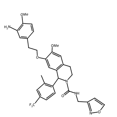 COc1ccc(CCOc2cc3c(cc2OC)CCN(C(=O)NCc2ccon2)C3c2ccc(C(F)(F)F)cc2C)cc1N